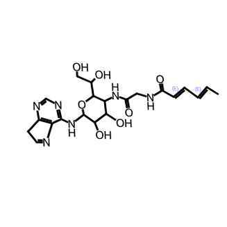 C/C=C/C=C/C(=O)NCC(=O)NC1C(O)C(O)C(Nc2ncnc3c2N=CC3)OC1C(O)CO